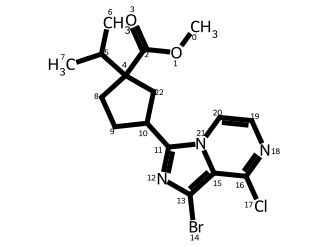 COC(=O)C1(C(C)C)CCC(c2nc(Br)c3c(Cl)nccn23)C1